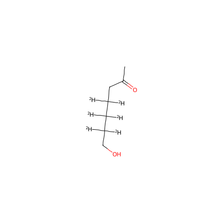 [2H]C([2H])(CO)C([2H])([2H])C([2H])([2H])CC(C)=O